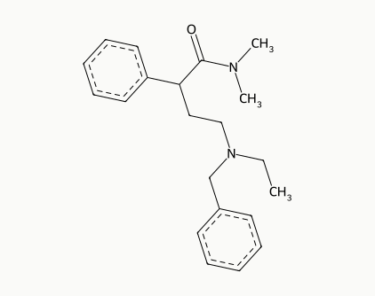 CCN(CCC(C(=O)N(C)C)c1ccccc1)Cc1ccccc1